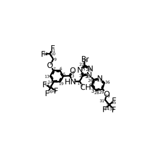 CC(NC(=O)c1cc(OCC(F)F)cc(C(F)(F)F)c1)c1nc(Br)nn1-c1ccc(OCC(F)(F)F)cn1